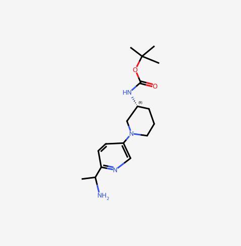 CC(N)c1ccc(N2CCC[C@@H](NC(=O)OC(C)(C)C)C2)cn1